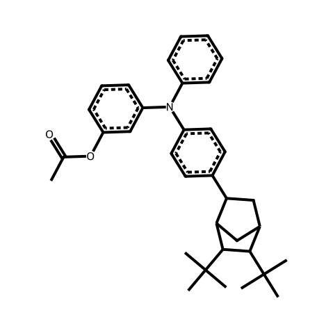 CC(=O)Oc1cccc(N(c2ccccc2)c2ccc(C3CC4CC3C(C(C)(C)C)C4C(C)(C)C)cc2)c1